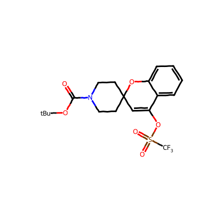 CC(C)(C)OC(=O)N1CCC2(C=C(OS(=O)(=O)C(F)(F)F)c3ccccc3O2)CC1